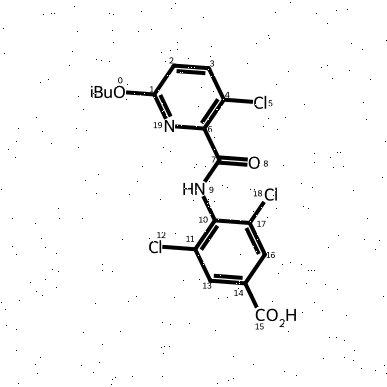 CC(C)COc1ccc(Cl)c(C(=O)Nc2c(Cl)cc(C(=O)O)cc2Cl)n1